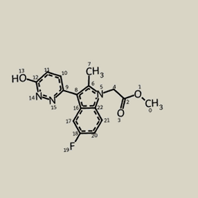 COC(=O)Cn1c(C)c(-c2ccc(O)nn2)c2cc(F)ccc21